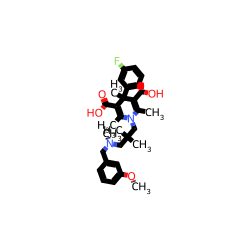 COc1cccc(CN(C)CC(C)(C)CN2C(C)=C(C(=O)O)C(C)(c3cccc(F)c3)C(C(=O)O)=C2C)c1